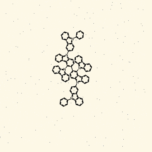 c1ccc(-n2c3ccccc3c3cc(-n4c5ccccc5c5c(-n6c7ccccc7c7ccccc76)c(-c6ccc7c(c6-n6c8ccccc8c8ccccc86)c6ccccc6n7-c6ccc7c(c6)c6ccccc6n7-c6ccccc6)ccc54)ccc32)cc1